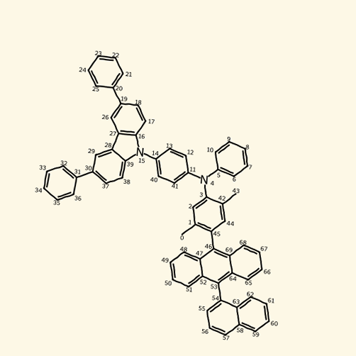 Cc1cc(N(c2ccccc2)c2ccc(-n3c4ccc(-c5ccccc5)cc4c4cc(-c5ccccc5)ccc43)cc2)c(C)cc1-c1c2ccccc2c(-c2cccc3ccccc23)c2ccccc12